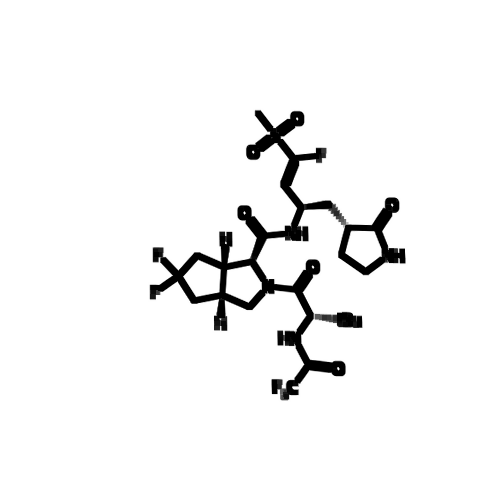 CC(C)(C)[C@H](NC(=O)C(F)(F)F)C(=O)N1C[C@@H]2CC(F)(F)C[C@@H]2[C@H]1C(=O)N[C@@H](/C=C(\F)S(C)(=O)=O)C[C@H]1CCNC1=O